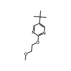 COCCOc1ncc(C(C)(C)C)cn1